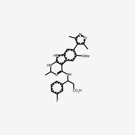 COc1cc2c3c([nH]c2cc1-c1c(C)noc1C)NC(C)N=C3NC(CC(=O)O)c1cccc(F)c1